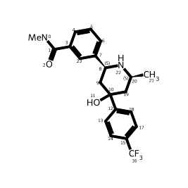 CNC(=O)c1cccc([C@@H]2CC(O)(c3ccc(C(F)(F)F)cc3)C[C@H](C)N2)c1